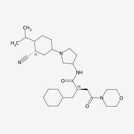 CC(C)C1CCC(N2CCC(NC(=O)[C@@H](CC(=O)N3CCOCC3)CC3CCCCC3)C2)C[C@@H]1C#N